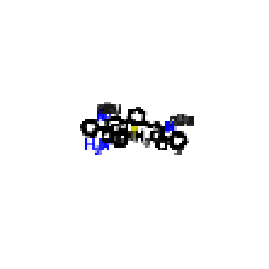 CCCCN1/C(=C/C=C2\CCCC(/C=C/C3=[N+](CCCC)c4ccccc4C3(C)C)=C2Sc2ccc(N)cc2)C(C)(C)c2ccccc21